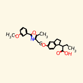 CCC(C(=O)O)C1CCc2cc(OCCc3nc(-c4cccc(OC)c4)oc3C)ccc21